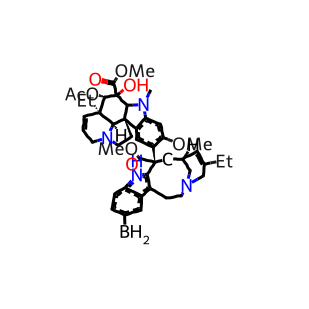 Bc1ccc2[nH]c3c(c2c1)CCN1CC(CC)=C[C@H](C1)C[C@]3(C(=O)OC)c1cc2c(cc1OC)N(C)C1C(O)(C(=O)OC)[C@H](OC(C)=O)[C@]3(CC)C=CCN4CC[C@]21[C@@H]43